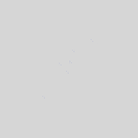 NC(=O)CCn1ccc2cnc(Nc3ccc(-c4cnco4)cc3)nc21